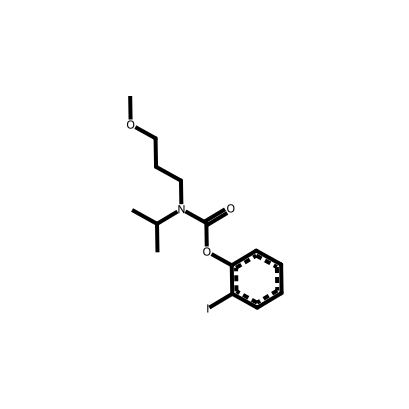 COCCCN(C(=O)Oc1ccccc1I)C(C)C